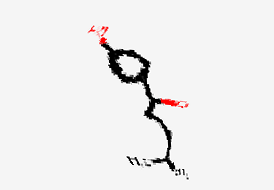 CC(C)CCC(=O)c1ccc(O)cc1